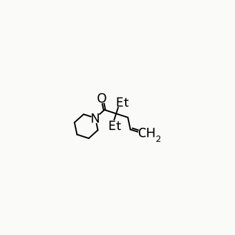 C=CCC(CC)(CC)C(=O)N1CCCCC1